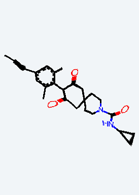 CC#Cc1cc(C)c(C2C(=O)CC3(CCN(C(=O)NC4CC4)CC3)CC2=O)c(C)c1